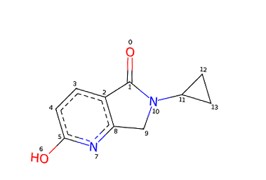 O=C1c2ccc(O)nc2CN1C1CC1